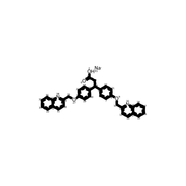 O=C(O)CC(c1ccc(OCc2ccc3ccccc3n2)cc1)c1ccc(OCc2ccc3ccccc3n2)cc1.[Na]